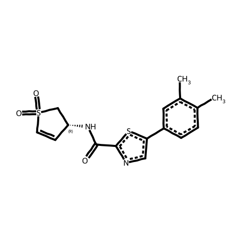 Cc1ccc(-c2cnc(C(=O)N[C@@H]3C=CS(=O)(=O)C3)s2)cc1C